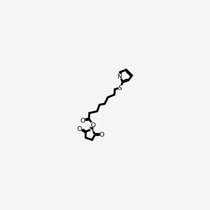 O=C(CCCCCCCSc1ccccn1)ON1C(=O)CCC1=O